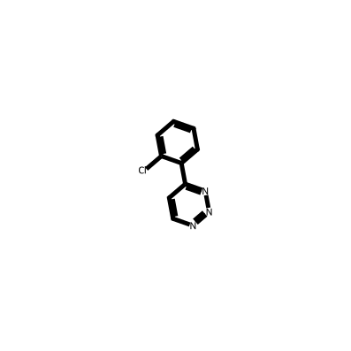 Clc1ccccc1-c1ccnnn1